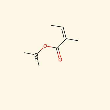 CC=C(C)C(=O)O[SiH](C)C